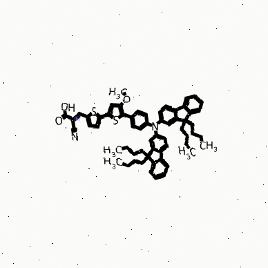 CCCCC1(CCCC)c2ccccc2-c2ccc(N(c3ccc(-c4sc(-c5ccc(/C=C(\C#N)C(=O)O)s5)cc4OC)cc3)c3ccc4c(c3)C(CCCC)(CCCC)c3ccccc3-4)cc21